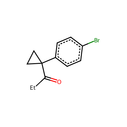 CCC(=O)C1(c2ccc(Br)cc2)CC1